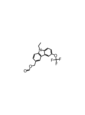 CCn1c2ccc(COC=O)cc2c2cc(OC(F)(F)F)ccc21